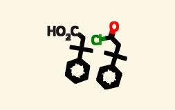 CC(C)(CC(=O)Cl)c1ccccc1.CC(C)(CC(=O)O)c1ccccc1